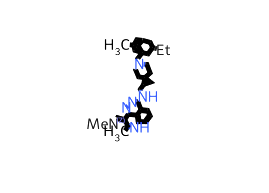 CCC1CC2CC(C)CC(CN3CCC4(CC3)CC4CNc3nnc(/C(=C/NC)C(C)=N)c4ccccc34)(C1)C2